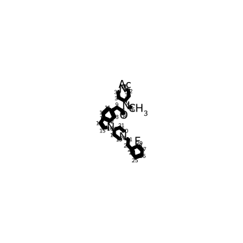 CC(=O)N1CCC(N(C)C(=O)Cc2ccc3ccn(C4CCN(CCc5ccccc5F)CC4)c3c2)CC1